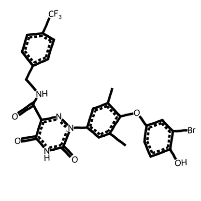 Cc1cc(-n2nc(C(=O)NCc3ccc(C(F)(F)F)cc3)c(=O)[nH]c2=O)cc(C)c1Oc1ccc(O)c(Br)c1